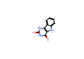 O=c1[nH]c(=O)c2[nH]c3ccccc3c2[nH]1